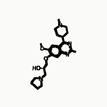 COc1cc2c(C3CCN(C)CC3)nc(C)nc2cc1OC[C@@H](O)CN1CCCC1